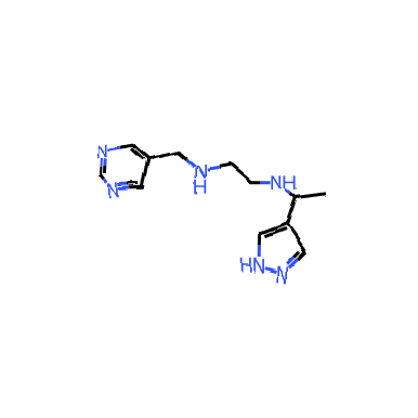 CC(NCCNCc1cncnc1)c1cn[nH]c1